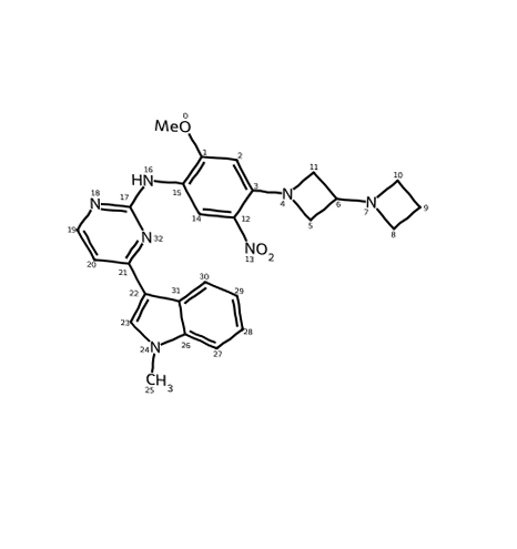 COc1cc(N2CC(N3CCC3)C2)c([N+](=O)[O-])cc1Nc1nccc(-c2cn(C)c3ccccc23)n1